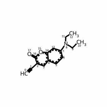 C#Cc1cc2ccc(N(CC)CC)cc2oc1=O